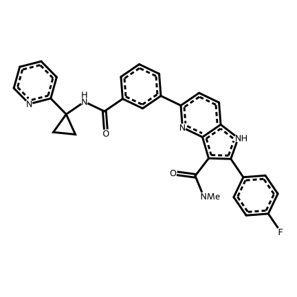 CNC(=O)c1c(-c2ccc(F)cc2)[nH]c2ccc(-c3cccc(C(=O)NC4(c5ccccn5)CC4)c3)nc12